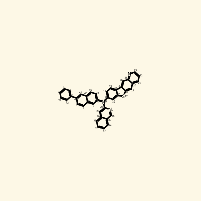 c1ccc(-c2ccc3cc(N(c4ccc5c(c4)sc4cc6cccnc6cc45)c4cc5ccccc5cn4)ccc3c2)cc1